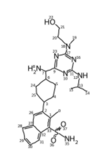 Cc1c(C2CCC(C(N)c3nc(NC(C)C)nc(N(C)CCO)n3)CC2)cc2ccccc2c1S(N)(=O)=O